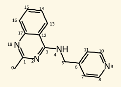 Cc1nc(NCc2ccncc2)c2ccccc2n1